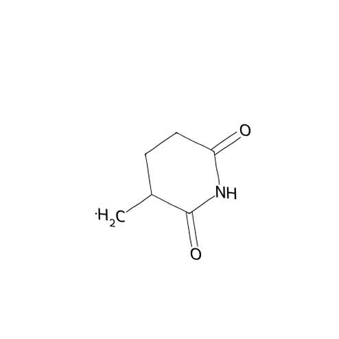 [CH2]C1CCC(=O)NC1=O